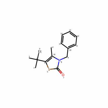 CCC(C)(C)c1sc(=O)n(Cc2ccccc2)c1C